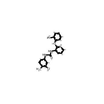 Cc1ccc(NC(=O)Nc2cccnc2Oc2ccccc2C(C)C)cc1Cl